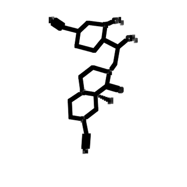 CC(CN1CCN2CCN(C#N)C[C@@H]2C1=O)C1CCC(C#N)CN1C